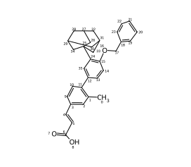 Cc1cc(/C=C/C(=O)O)ccc1-c1ccc(OCc2ccccc2)c(C23CC4CC(CC(C4)C2)C3)c1